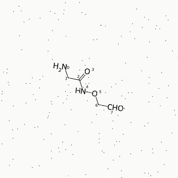 NCC(=O)NOC[C]=O